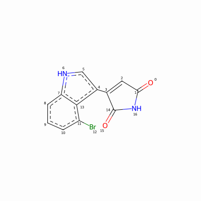 O=C1C=C(c2c[nH]c3cccc(Br)c23)C(=O)N1